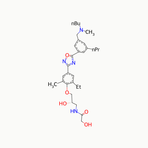 CCCCN(C)Cc1cc(CCC)cc(-c2nc(-c3cc(C)c(OC[C@@H](O)CNC(=O)CO)c(CC)c3)no2)c1